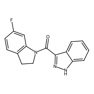 O=C(c1n[nH]c2ccccc12)N1CCc2ccc(F)cc21